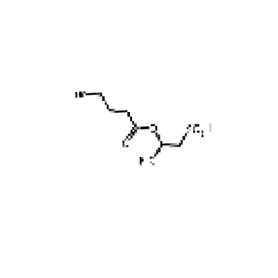 O=C(CCCBr)OC(CS(=O)(=O)O)C(F)(F)F